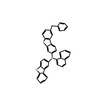 c1ccc(Cc2ccc3sc4cc(N(c5ccc6oc7ccccc7c6c5)c5cccc6ccccc56)ccc4c3c2)cc1